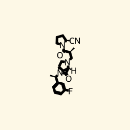 C[C@H](c1cccc(F)c1)N1C(=O)[C@@H]2CC1CN2C[C@H](C)C(=O)N1CCC[C@H]1C#N